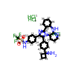 Cl.Cl.Cl.NC1(c2ccc(-c3c(-c4ccc(NS(=O)(=O)C(F)(F)F)cc4)nc4n3-c3cccnc3Nc3ccccc3-4)cc2)CCC1